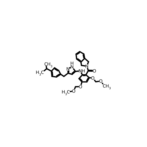 COCOc1cc(Nc2cc(Cc3ccc(C(C)C)cc3)n[nH]2)c(C(=O)N2Cc3ccccc3C2)c(OCOC)c1